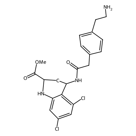 COC(=O)C1CC(NC(=O)Cc2ccc(CCN)cc2)c2c(Cl)cc(Cl)cc2N1